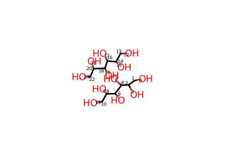 OCC(O)C(O)C(O)C(O)CO.OCC(O)C(O)C(O)C(O)CO